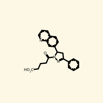 O=C(O)CCCC(=O)N1N=C(c2ccccc2)CC1c1ccc2cccnc2c1